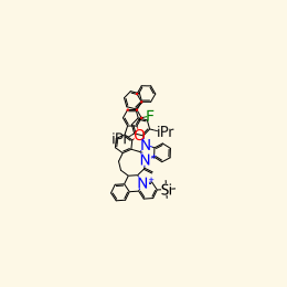 C=C1C2C(CCc3ccc4c(oc5c(F)c(-c6ccccc6)ccc54)c3-c3n(-c4c(C(C)C)cc(-c5ccccc5)cc4C(C)C)c4ccccc4[n+]31)c1ccccc1-c1ccc([Si](C)(C)C)c[n+]12